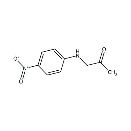 CC(=O)CNc1ccc([N+](=O)[O-])cc1